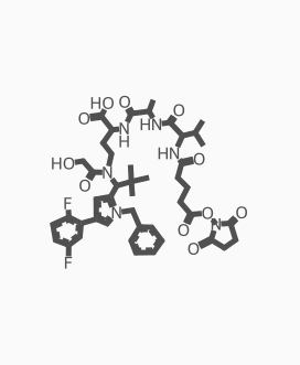 CC(NC(=O)C(NC(=O)CCCC(=O)ON1C(=O)CCC1=O)C(C)C)C(=O)NC(CCN(C(=O)CO)C(c1cc(-c2cc(F)ccc2F)cn1Cc1ccccc1)C(C)(C)C)C(=O)O